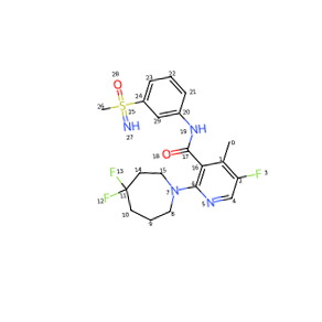 Cc1c(F)cnc(N2CCCC(F)(F)CC2)c1C(=O)Nc1cccc(S(C)(=N)=O)c1